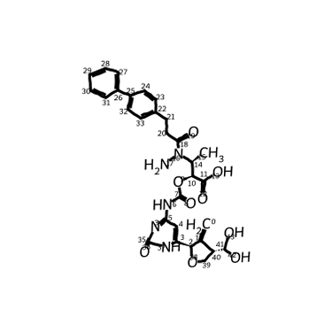 C=C1[C@H](c2cc(NC(=O)O[C@H](C(=O)O)[C@H](C)N(N)C(=O)CCc3ccc(-c4ccccc4)cc3)nc(=O)[nH]2)OC[C@H]1C(O)O